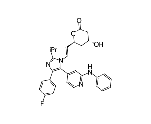 CC(C)c1nc(-c2ccc(F)cc2)c(-c2ccnc(Nc3ccccc3)c2)n1/C=C/[C@@H]1C[C@@H](O)CC(=O)O1